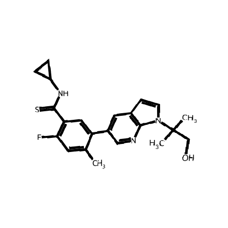 Cc1cc(F)c(C(=S)NC2CC2)cc1-c1cnc2c(ccn2C(C)(C)CO)c1